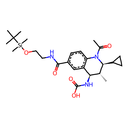 CC(=O)N1c2ccc(C(=O)NCCO[Si](C)(C)C(C)(C)C)cc2[C@H](NC(=O)O)[C@@H](C)[C@@H]1C1CC1